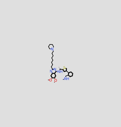 CNCc1ccccc1-c1csc([C@@H](C)Nc2nc(CCCCCCCCN3CCCCC3)nc3cc(OC)c(OC)cc23)c1